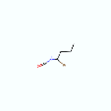 CCCC(Br)N[C]=O